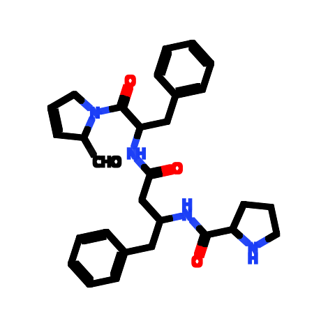 O=CC1C=CCN1C(=O)C(Cc1ccccc1)NC(=O)CC(Cc1ccccc1)NC(=O)C1CCCN1